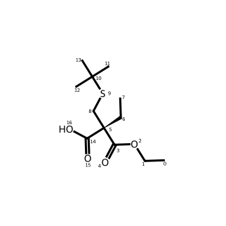 CCOC(=O)[C@@](CC)(CSC(C)(C)C)C(=O)O